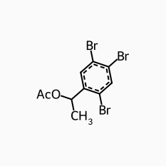 CC(=O)OC(C)c1cc(Br)c(Br)cc1Br